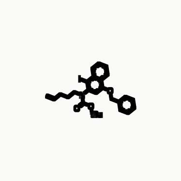 C=CCCCN(C(=O)OC(C)(C)C)c1cc(OCc2ccccc2)c2ccccc2c1I